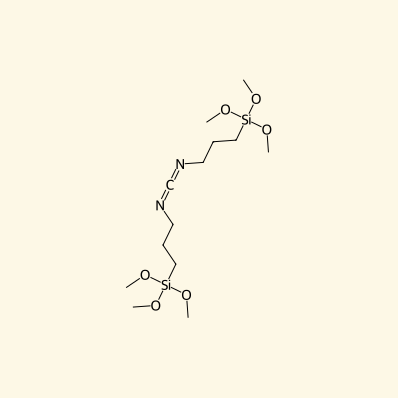 CO[Si](CCCN=C=NCCC[Si](OC)(OC)OC)(OC)OC